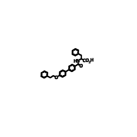 O=C(NC(Cc1ccccc1)C(=O)O)c1ccc(-c2ccc(OCCc3ccccc3)cc2)cc1